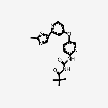 Cc1ncc(-c2cc(Oc3ccc(NC(=O)NC(=O)C(C)(C)C)nc3)ccn2)s1